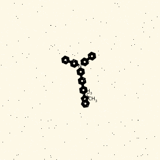 CC1(C)C(c2ccc(-c3ccc(-c4ccc(N(c5ccc(-c6ccccc6)cc5)c5ccc(-c6ccccc6)cc5)cc4)cc3)cc2)=Cc2ccccc21